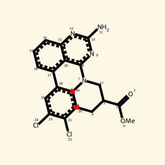 COC(=O)C1CCCN(c2nc(N)nc3cccc(-c4ccc(Cl)c(Cl)c4)c23)C1